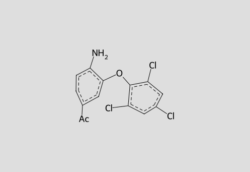 CC(=O)c1ccc(N)c(Oc2c(Cl)cc(Cl)cc2Cl)c1